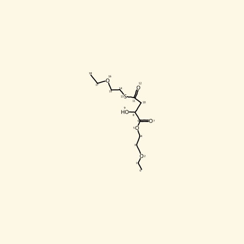 CCOCCOC(=O)C(O)CC(=O)SCCOCC